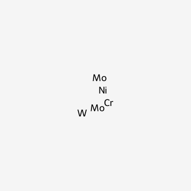 [Cr].[Mo].[Mo].[Ni].[W]